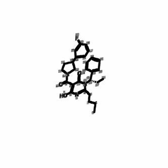 CCCCc1nc(O)c(C(=O)N2CCC(c3cccc(F)c3)C2)c(=O)n1[C@@H](CC)c1ccccc1